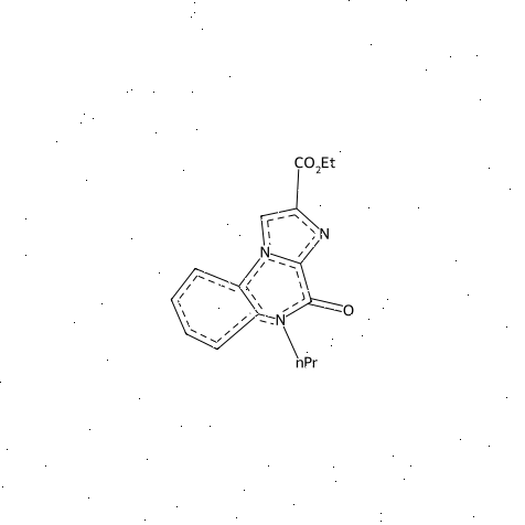 CCCn1c(=O)c2nc(C(=O)OCC)cn2c2ccccc21